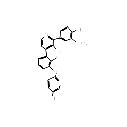 COc1cc(-c2nccc(-c3cccc(Nc4ccc(C=O)cn4)c3Cl)c2Cl)ccc1C=O